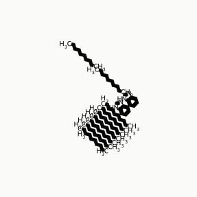 CCCCCCCCCC.CCCCCCCCCC.CCCCCCCCCC.CCCCCCCCCC.CCCCCCCCCC.CCCCCCCCCC.CCCCCCCCCC.CCCCCCCCCC.CCCCCCCCCC.c1ccc2[nH]cnc2c1.c1ccc2[nH]cnc2c1